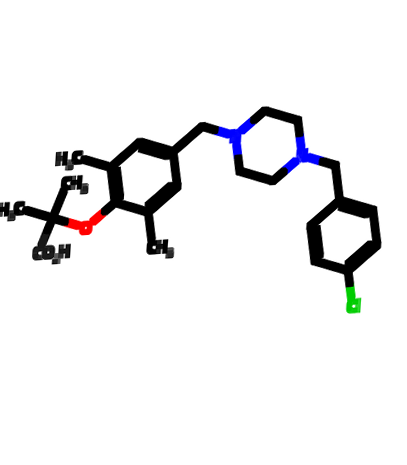 Cc1cc(CN2CCN(Cc3ccc(Cl)cc3)CC2)cc(C)c1OC(C)(C)C(=O)O